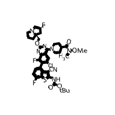 CON(C)C(=O)C1CCN(c2nc(OC[C@@]34CCCN3C[C@H](F)C4)nc3c(F)c(-c4ccc(F)c5sc(NC(=O)OC(C)(C)C)c(C#N)c45)c(Cl)cc23)CC1